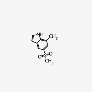 Cc1cc(S(C)(=O)=O)cc2cc[nH]c12